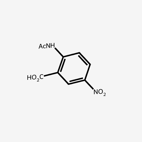 CC(=O)Nc1ccc([N+](=O)[O-])cc1C(=O)O